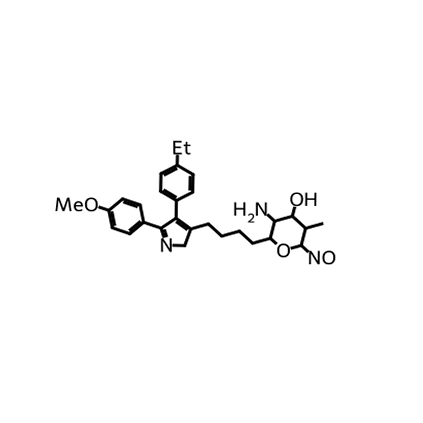 CCc1ccc(C2=C(CCCCC3OC(N=O)C(C)C(O)C3N)CN=C2c2ccc(OC)cc2)cc1